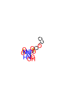 CS(=O)(=O)N1CCN(C(CNS(=O)(=O)c2ccc(OCc3cccc4ccccc34)cc2)C(=O)NO)CC1